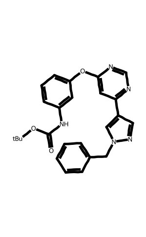 CC(C)(C)OC(=O)Nc1cccc(Oc2cc(-c3cnn(Cc4ccccc4)c3)ncn2)c1